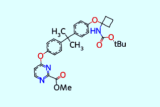 COC(=O)c1nccc(Oc2ccc(C(C)(C)c3ccc(OC4(NC(=O)OC(C)(C)C)CCC4)cc3)cc2)n1